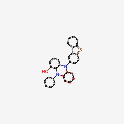 Oc1cccc(N(c2ccccc2)c2ccc3sc4ccccc4c3c2)c1N(c1ccccc1)c1ccccc1